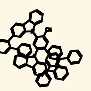 N#Cc1cc(-c2cc(-c3ccccc3)nc(-c3ccccc3)c2)c(-n2c3ccccc3c3ccc(-c4ccccc4-c4ccccc4)cc32)cc1-n1c2ccccc2c2ccc(-c3ccccc3-c3ccccc3)cc21